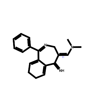 CN(C)/C=C1\CN=C(c2ccccc2)C2=CCCC=C2C1=N